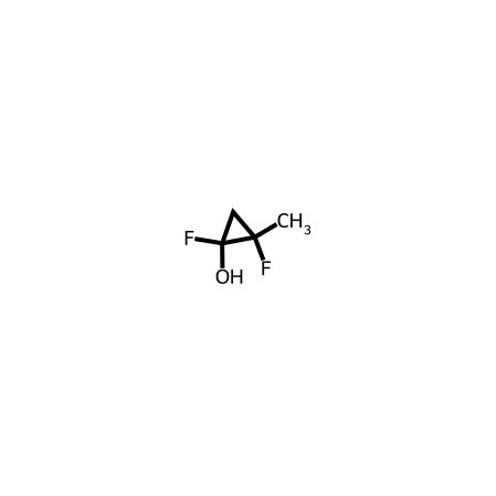 CC1(F)CC1(O)F